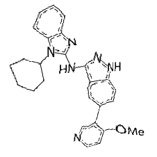 COc1ccncc1-c1ccc2[nH]nc(Nc3nc4ccccc4n3C3CCCCC3)c2c1